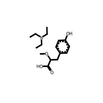 CCN(CC)CC.COC(Cc1ccc(O)cc1)C(=O)O